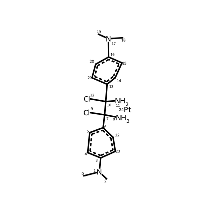 CN(C)c1ccc(C(N)(Cl)C(N)(Cl)c2ccc(N(C)C)cc2)cc1.[Pt]